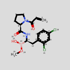 C=CC(=O)N1CCC[C@@H]1C(=O)N[C@@H](Cc1ccc(Cl)cc1Cl)B(O)OC